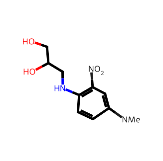 CNc1ccc(NCC(O)CO)c([N+](=O)[O-])c1